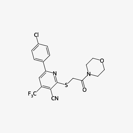 N#Cc1c(C(F)(F)F)cc(-c2ccc(Cl)cc2)nc1SCC(=O)N1CCOCC1